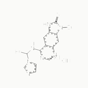 CCC(Nc1ncnc2cc3c(cc12)[nH]c(=S)n3CC)n1ccnc1.Cl.Cl